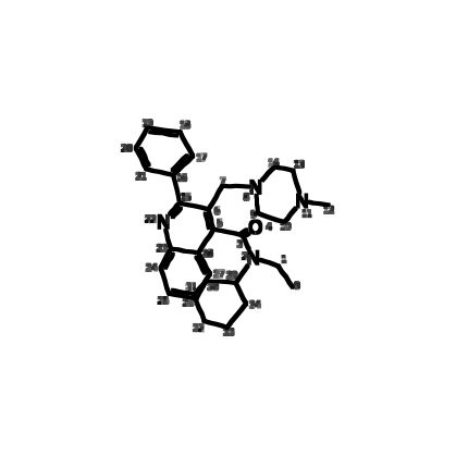 CCN(C(=O)c1c(CN2CCN(C)CC2)c(-c2ccccc2)nc2ccccc12)C1CCCCC1